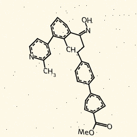 COC(=O)c1ccc(-c2ccc(CC/C(=N/O)c3cccc(-c4ccnc(C)c4)c3C)cc2)cc1